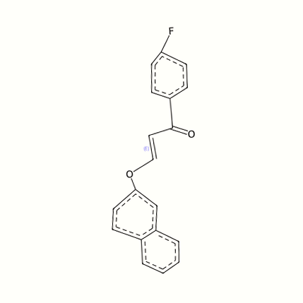 O=C(/C=C/Oc1ccc2ccccc2c1)c1ccc(F)cc1